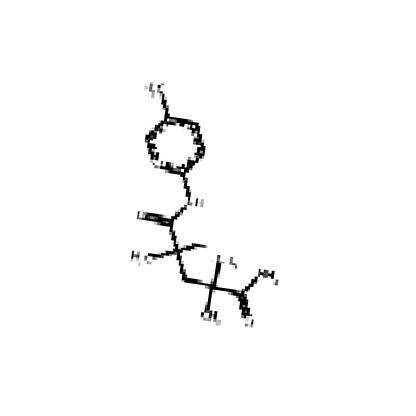 Cc1ccc(NC(=O)C(C)(C)CC(C)(C)C(N)=O)nc1